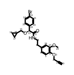 C#CCOc1ccc(CCNC(=O)[C@@H](OCC2CC2)c2ccc(Br)cc2)cc1OC